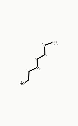 OCCOCCOP